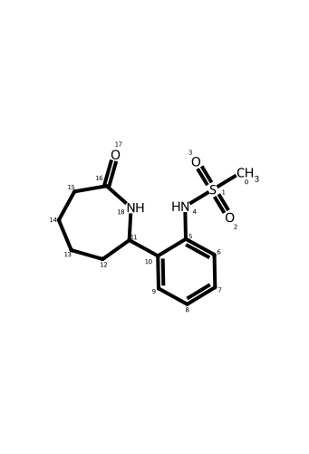 CS(=O)(=O)Nc1ccccc1C1CCCCC(=O)N1